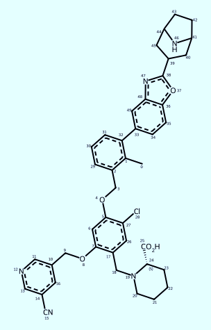 Cc1c(COc2cc(OCc3cncc(C#N)c3)c(CN3CCCC[C@H]3C(=O)O)cc2Cl)cccc1-c1ccc2oc(C3CC4CCC(C3)N4)nc2c1